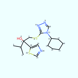 CC(C)C(O)(CSc1nncn1C1CCCCC1)c1cncs1